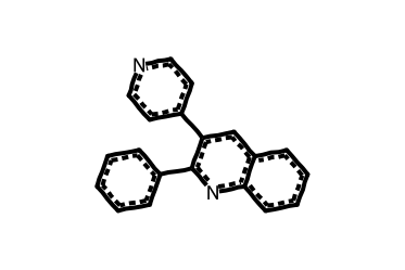 c1ccc(-c2nc3ccccc3cc2-c2ccncc2)cc1